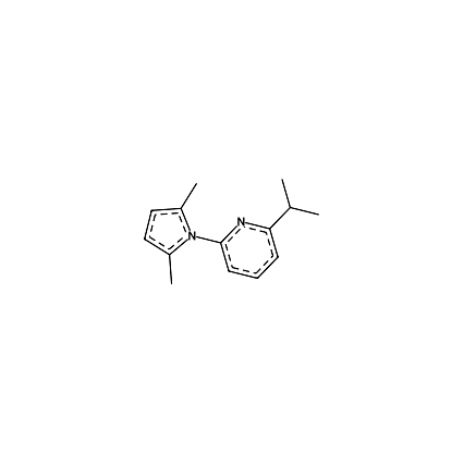 Cc1ccc(C)n1-c1cccc(C(C)C)n1